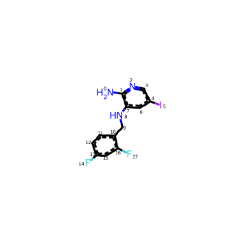 Nc1ncc(I)cc1NCc1ccc(F)cc1F